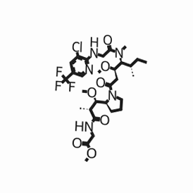 CC[C@H](C)[C@@H]([C@@H](CC(=O)N1CCC[C@H]1[C@H](OC)[C@@H](C)C(=O)NCC(=O)OC)OC)N(C)C(=O)CNc1ncc(C(F)(F)F)cc1Cl